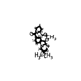 COC[C@@H]1CCCN1C(=O)c1ccc2c(c1)C(=O)C1=NCC(C)(C)CN12